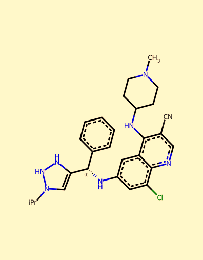 CC(C)N1C=C([C@@H](Nc2cc(Cl)c3ncc(C#N)c(NC4CCN(C)CC4)c3c2)c2ccccc2)NN1